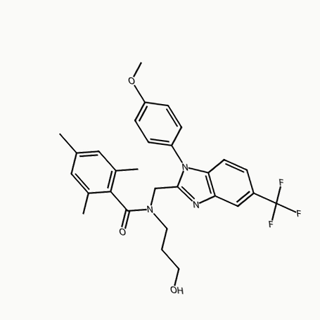 COc1ccc(-n2c(CN(CCCO)C(=O)c3c(C)cc(C)cc3C)nc3cc(C(F)(F)F)ccc32)cc1